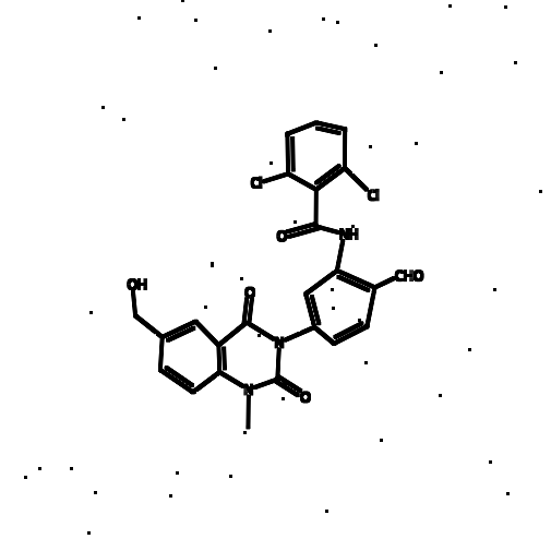 Cn1c(=O)n(-c2ccc(C=O)c(NC(=O)c3c(Cl)cccc3Cl)c2)c(=O)c2cc(CO)ccc21